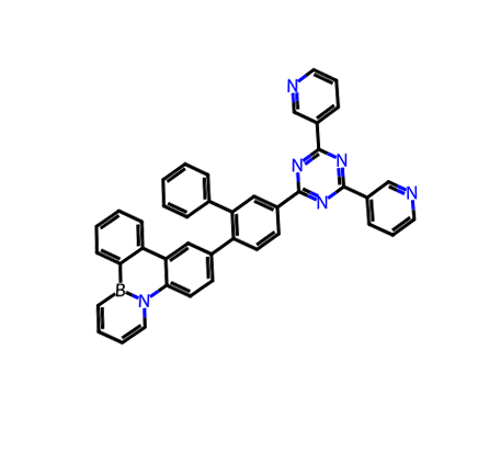 C1=CB2c3ccccc3-c3cc(-c4ccc(-c5nc(-c6cccnc6)nc(-c6cccnc6)n5)cc4-c4ccccc4)ccc3N2C=C1